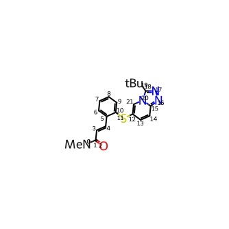 CNC(=O)C=Cc1ccccc1Sc1ccc2nnc(C(C)(C)C)n2c1